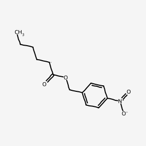 CCCC[CH]C(=O)OCc1ccc([N+](=O)[O-])cc1